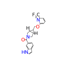 O=C(c1ccc2cc[nH]c2c1)N1C[C@@H]2C(COc3cccc(C(F)(F)F)n3)[C@@H]2C1